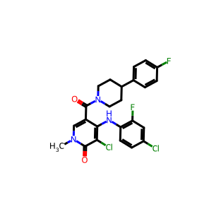 Cn1cc(C(=O)N2CCC(c3ccc(F)cc3)CC2)c(Nc2ccc(Cl)cc2F)c(Cl)c1=O